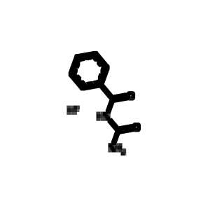 F.NC(=O)NC(=O)c1ccccc1